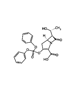 C[C@@H](O)[C@H]1C(=O)N2C(C(=O)O)=C(OP(=O)(Oc3ccccc3)Oc3ccccc3)C[C@@H]12